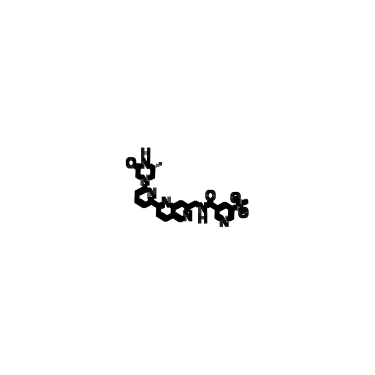 C[C@@H]1CN(c2cccc(-c3ccc4cnc(CNC(=O)c5cncc(S(C)(=O)=O)c5)cc4n3)n2)CC(=O)N1